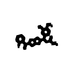 Cc1ccc(C(CC(N)=O)N2CC3CN(C(=O)c4ccccc4I)CC3C2)cc1Cl